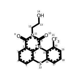 O=c1c2cccc3c2n(c(=O)n1CCO)-c1c(cccc1C(F)(F)F)S3